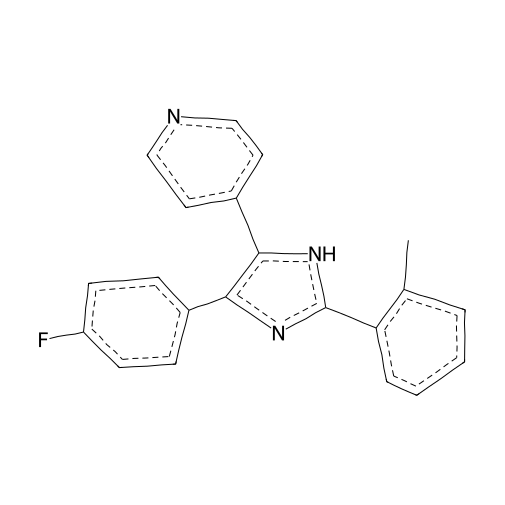 Cc1ccccc1-c1nc(-c2ccc(F)cc2)c(-c2ccncc2)[nH]1